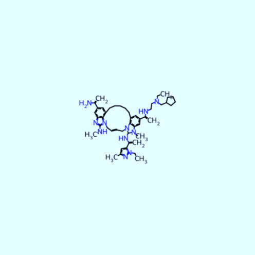 C=C(N)c1cc2c3c(c1)nc(NC)n3C/C=C/CN1c3c(cc(C(=C)NCCN(CC)CC4CCCC4)cc3N(C)C1NC(=C)c1cc(C)nn1CC)CCCCC2